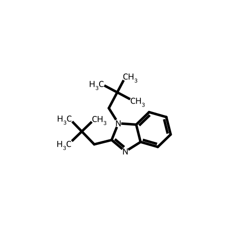 CC(C)(C)Cc1nc2ccccc2n1CC(C)(C)C